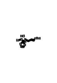 CCCCCCCCC=CCNC(OCC)(OCC)OCC.Cl